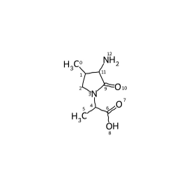 CC1CN(C(C)C(=O)O)C(=O)C1N